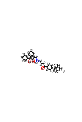 CC(=O)C(C)(C)c1ccc(C(=O)CCCN2CCC(C(O)(c3ccccc3)c3ccccc3)CC2)cc1